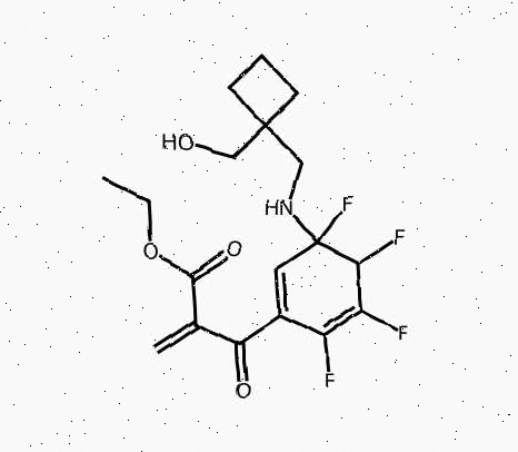 C=C(C(=O)OCC)C(=O)C1=CC(F)(NCC2(CO)CCC2)C(F)C(F)=C1F